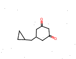 O=C1CC(=O)CC(CC2CC2)C1